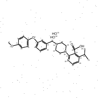 COc1ccc(Oc2cccc(CN3CCN(c4nccc(C(C)C)c4C(=O)O)CC3)c2)cc1.Cl.Cl